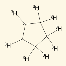 [3H][C]1C([3H])C([3H])([3H])C([3H])([3H])C1([3H])[3H]